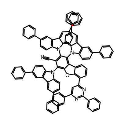 N#Cc1c(-n2c3ccc(-c4ccccc4)cc3c3cc(-c4ccccc4)ccc32)c(-n2c3ccc(-c4ccccc4)cc3c3cc(-c4ccccc4)ccc32)c2c(oc3c(-c4cc(-c5ccccc5)nc(-c5ccccc5)n4)cccc32)c1-n1c2ccc(-c3ccccc3)cc2c2cc(-c3ccccc3)ccc21